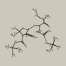 CON(C)C(=O)C(CC1CC(C)(C)N(C(=O)OC(C)(C)C)C1=O)NC(=O)OC(C)(C)C